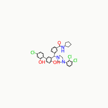 O=C(NC1CCCC1)c1cccc(C(c2cc(-c3ccc(Cl)cc3O)ccc2O)N2CCN(c3cccc(Cl)c3Cl)CC2)c1